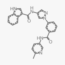 Cc1ccc(NC(=O)c2cccc(-n3cc(NC(=O)c4c[nH]c5ccccc45)cn3)c2)cn1